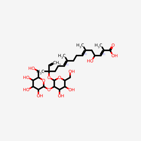 C=CC(C)(CC/C=C(\C)CC/C=C(\C)CC(O)/C=C(\C)C(=O)O)OC1OC(CO)C(O)C(O)C1OC1OC(CO)C(O)C(O)C1O